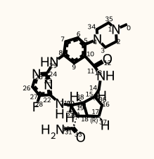 CN1CCN(c2ccc3cc2C(=O)NC[C@@H]2C[C@@H]4C[C@H]2[C@@H](Nc2nc(ncc2F)N3)[C@H]4C(N)=O)CC1